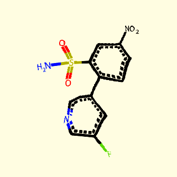 NS(=O)(=O)c1cc([N+](=O)[O-])ccc1-c1cncc(F)c1